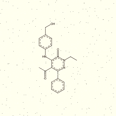 CCn1nc(-c2ccccc2)c(C(C)=O)c(Nc2ccc(CO)cc2)c1=O